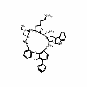 CN1C(=O)[C@H](CCCCN)NC(=O)[C@H](CCCN)NCc2ccccc2Sc2c(ccc(-c3ccccc3)c2Cl)CNC(=O)[C@@H]1Cc1c[nH]c2ccccc12